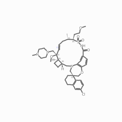 COCC[C@@H]1[C@@H](C)C/C=C/[C@@](CN2CCN(C)CC2)(OC)[C@@H]2CC[C@H]2CN2C[C@@]3(CCCc4cc(Cl)ccc43)COc3ccc(cc32)C(=O)NS1(=O)=O